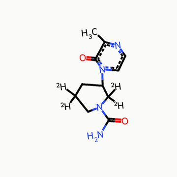 [2H]C1([2H])CC(n2ccnc(C)c2=O)C([2H])([2H])N(C(N)=O)C1